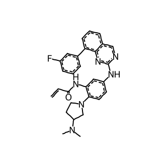 C=CC(=O)Nc1cc(Nc2ncc3cccc(-c4cccc(F)c4)c3n2)ccc1N1CCC(N(C)C)C1